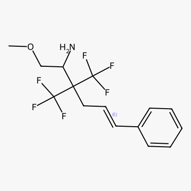 COCC(N)C(C/C=C/c1ccccc1)(C(F)(F)F)C(F)(F)F